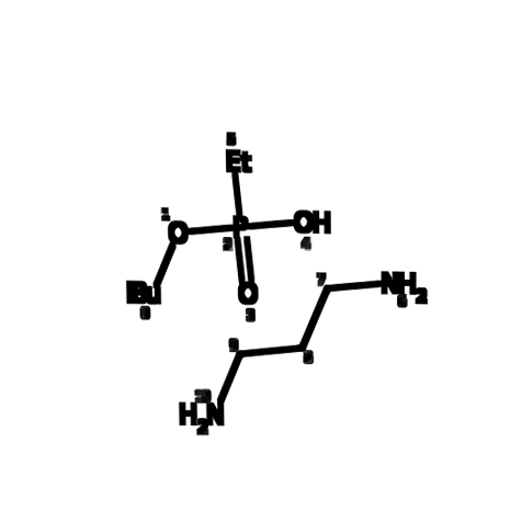 CCC(C)OP(=O)(O)CC.NCCCN